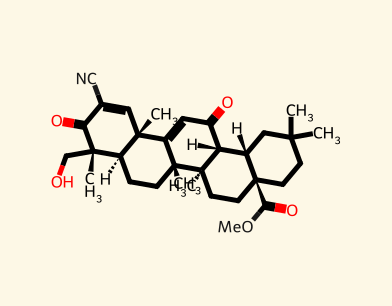 COC(=O)[C@]12CCC(C)(C)C[C@H]1[C@H]1C(=O)C=C3[C@@]4(C)C=C(C#N)C(=O)[C@@](C)(CO)[C@@H]4CC[C@@]3(C)[C@]1(C)CC2